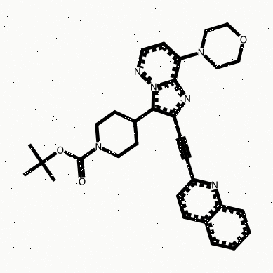 CC(C)(C)OC(=O)N1CCC(c2c(C#Cc3ccc4ccccc4n3)nc3c(N4CCOCC4)ccnn23)CC1